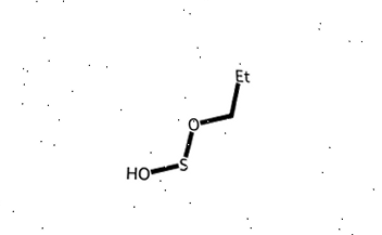 CCCOSO